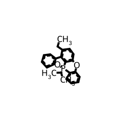 CCc1ccc2c(c1-c1ccccc1)P(=O)(C(C)C)c1ccccc1O2